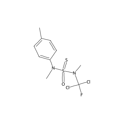 Cc1ccc(N(C)S(=O)(=S)N(C)C(F)(Cl)Cl)cc1